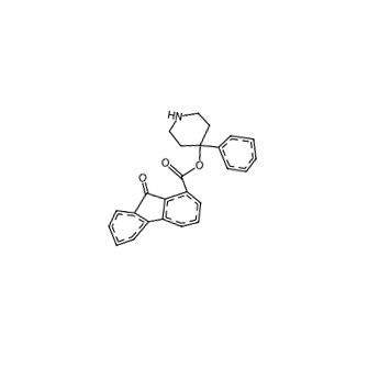 O=C(OC1(c2ccccc2)CCNCC1)c1cccc2c1C(=O)c1ccccc1-2